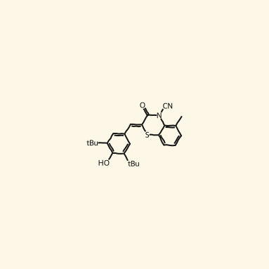 Cc1cccc2c1N(C#N)C(=O)C(=Cc1cc(C(C)(C)C)c(O)c(C(C)(C)C)c1)S2